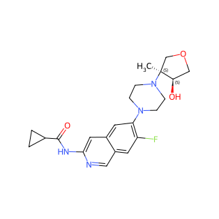 C[C@]1(N2CCN(c3cc4cc(NC(=O)C5CC5)ncc4cc3F)CC2)COC[C@H]1O